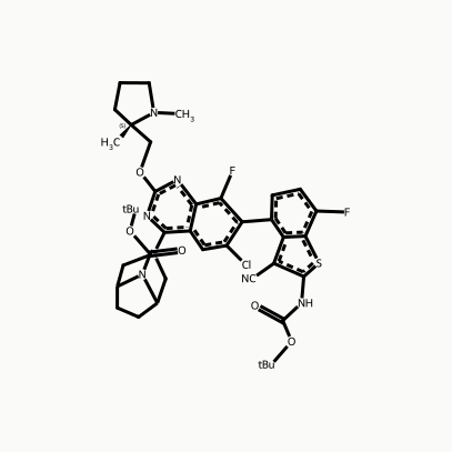 CN1CCC[C@@]1(C)COc1nc(N2CC3CCC(C2)N3C(=O)OC(C)(C)C)c2cc(Cl)c(-c3ccc(F)c4sc(NC(=O)OC(C)(C)C)c(C#N)c34)c(F)c2n1